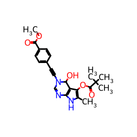 COC(=O)c1ccc(C#CN2C=Nc3[nH]c(C)c(OC(=O)C(C)(C)C)c3C2O)cc1